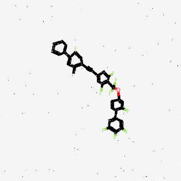 Cc1cc(-c2ccccc2)c(F)cc1C#Cc1cc(F)c(C(F)(F)Oc2ccc(-c3cc(F)c(F)c(F)c3)c(F)c2)c(F)c1